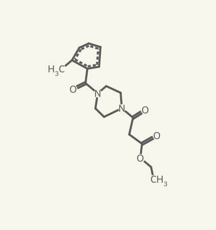 CCOC(=O)CC(=O)N1CCN(C(=O)c2ccccc2C)CC1